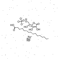 CCCCCCCCCCCCCCCC(=O)O.O=C1O[C@H]([C@@H](O)CO)C(O)=C1O.O=P([O-])([O-])[O-].[Na+].[Na+].[Na+]